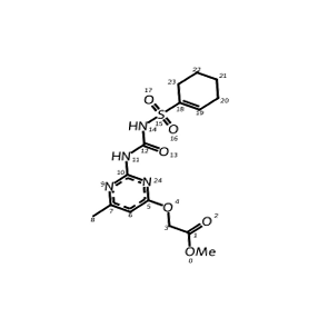 COC(=O)COc1cc(C)nc(NC(=O)NS(=O)(=O)C2=CCCCC2)n1